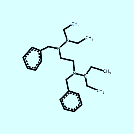 CCB(CC)N(CCN(Cc1ccccc1)B(CC)CC)Cc1ccccc1